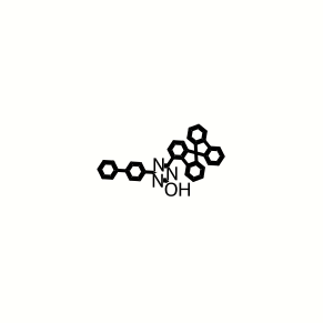 Oc1nc(-c2ccc(-c3ccccc3)cc2)nc(-c2cccc3c2-c2ccccc2C32c3ccccc3-c3ccccc32)n1